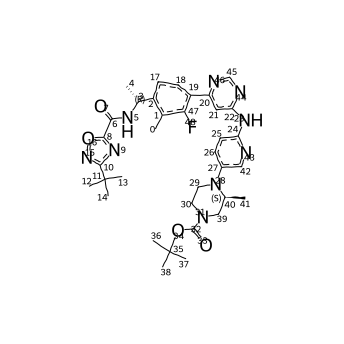 Cc1c([C@@H](C)NC(=O)c2nc(C(C)(C)C)no2)ccc(-c2cc(Nc3ccc(N4CCN(C(=O)OC(C)(C)C)C[C@@H]4C)cn3)ncn2)c1F